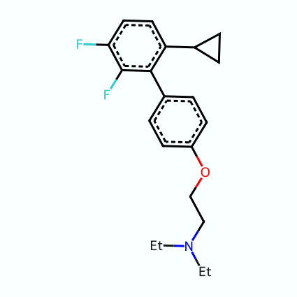 CCN(CC)CCOc1ccc(-c2c(C3CC3)ccc(F)c2F)cc1